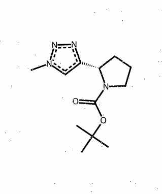 Cn1cc([C@@H]2CCCN2C(=O)OC(C)(C)C)nn1